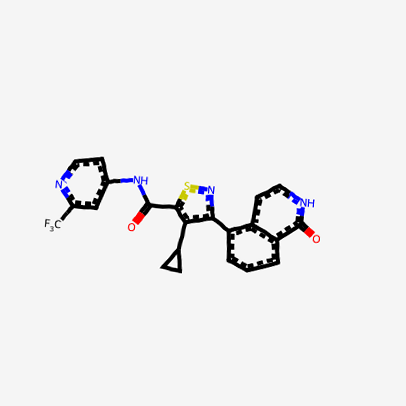 O=C(Nc1ccnc(C(F)(F)F)c1)c1snc(-c2cccc3c(=O)[nH]ccc23)c1C1CC1